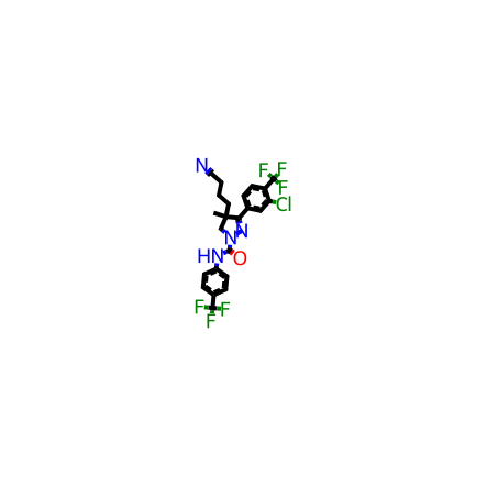 CC1(CCCC#N)CN(C(=O)Nc2ccc(C(F)(F)F)cc2)N=C1c1ccc(C(F)(F)F)c(Cl)c1